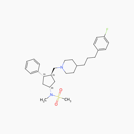 CN([C@H]1C[C@H](CN2CCC(CCCc3ccc(F)cc3)CC2)[C@@H](c2ccccc2)C1)S(C)(=O)=O